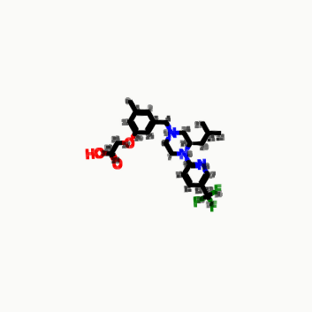 Cc1cc(CN2CCN(c3ccc(C(F)(F)F)cn3)[C@H](CC(C)C)C2)cc(OCC(=O)O)c1